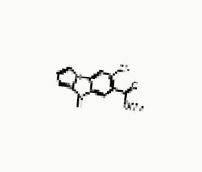 COC(=O)c1cc2[nH]c3cccn3c2cc1C#N